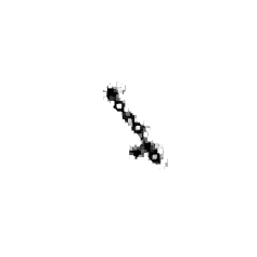 CCCn1ncn(-c2ccc(N3CCN(c4ccc(OC[C@@H]5CO[C@@](Cn6cnnn6)(c6ccc(Cl)cc6Cl)O5)c(F)c4)CC3)cc2)c1=O